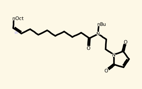 CCCCCCCC/C=C\CCCCCCCC(=O)N(CCCC)CCN1C(=O)C=CC1=O